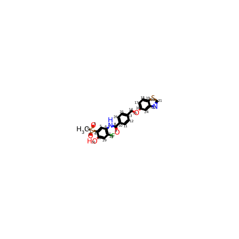 CS(=O)(=O)c1cc(NC(=O)c2ccc(COc3ccc4scnc4c3)cc2)c(F)cc1O